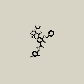 CCC(C)[C@H]1CO[C@@H]2Cn3cc(C(=O)NCc4ccc(F)cc4F)c(=O)c(OCc4ccccc4)c3C(=O)N12